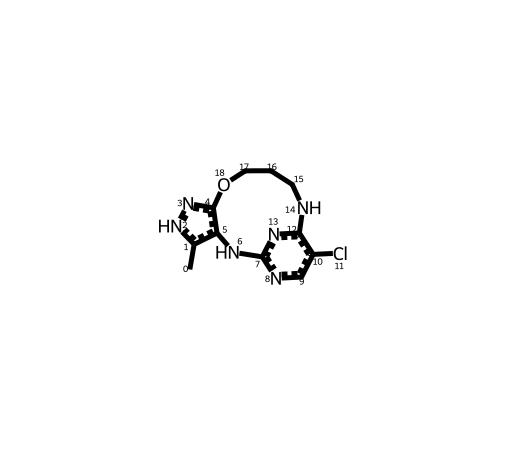 Cc1[nH]nc2c1Nc1ncc(Cl)c(n1)NCCCO2